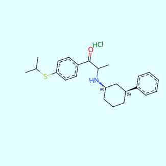 CC(C)Sc1ccc(C(=O)C(C)N[C@@H]2CCC[C@H](c3ccccc3)C2)cc1.Cl